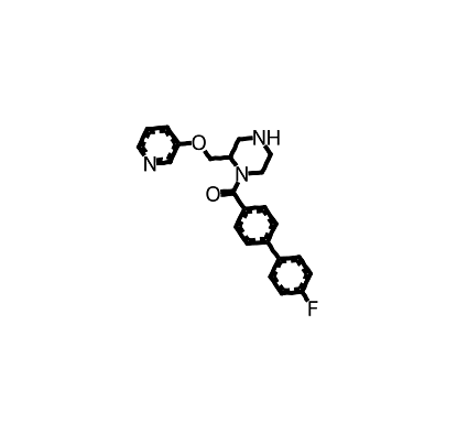 O=C(c1ccc(-c2ccc(F)cc2)cc1)N1CCNCC1COc1cccnc1